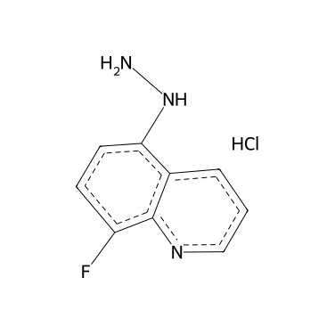 Cl.NNc1ccc(F)c2ncccc12